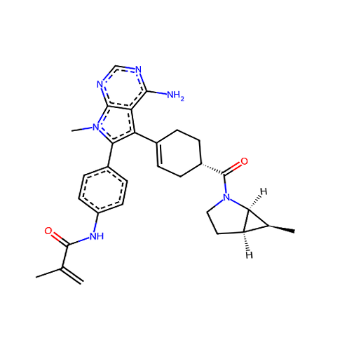 C=C(C)C(=O)Nc1ccc(-c2c(C3=CC[C@@H](C(=O)N4CC[C@@H]5[C@H](C)[C@@H]54)CC3)c3c(N)ncnc3n2C)cc1